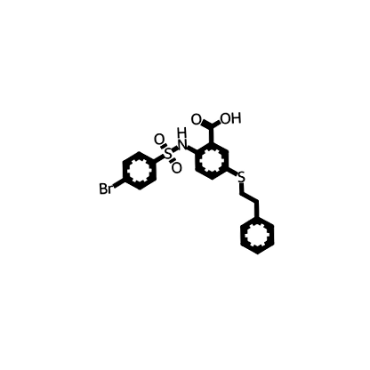 O=C(O)c1cc(SCCc2ccccc2)ccc1NS(=O)(=O)c1ccc(Br)cc1